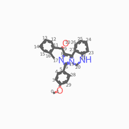 COc1ccc(-c2nc(C(=O)c3ccccc3C)c3n2CNc2ccccc2-3)cc1